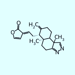 C=C1CCC2C3(C)C=NN=C3CC[C@@]2(C)[C@@H]1C/C=C1\C=COC1=O